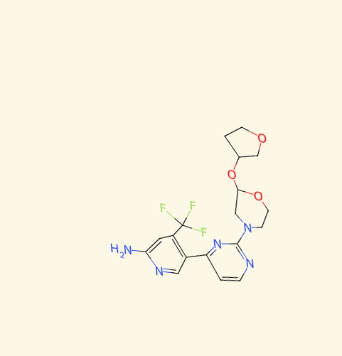 Nc1cc(C(F)(F)F)c(-c2ccnc(N3CCOC(OC4CCOC4)C3)n2)cn1